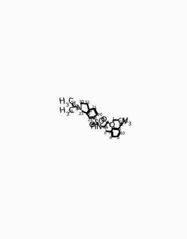 CCOC(=O)[C@H](Cc1cccc(C#N)c1)NS(=O)(=O)c1ccc2c(c1)CN(C(C)C)CC2